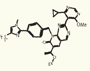 C=C(OCC)c1cc2cnc(-c3c(OC)ncnc3C3CC3)nc2n(Cc2ccc(-c3nc(C(F)(F)F)cn3C)cc2)c1=O